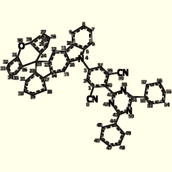 N#Cc1cc(-n2c3ccccc3c3cc4c(cc32)-c2ccccc2C42c3ccccc3Oc3ccccc32)cc(C#N)c1-c1nc(-c2ccccc2)nc(-c2ccccc2)n1